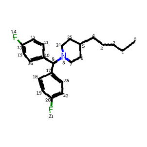 CCCCCC1CCN(C(c2ccc(F)cc2)c2ccc(F)cc2)CC1